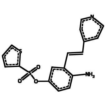 Nc1ccc(OS(=O)(=O)c2cccs2)cc1/C=C/c1ccncc1